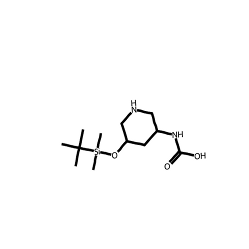 CC(C)(C)[Si](C)(C)OC1CNCC(NC(=O)O)C1